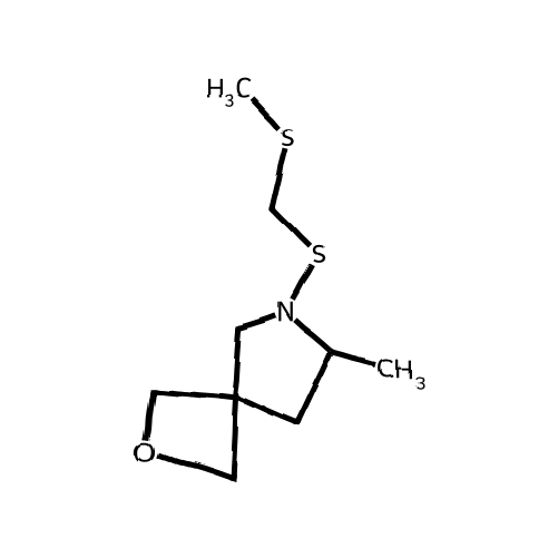 CSCSN1CC2(COC2)CC1C